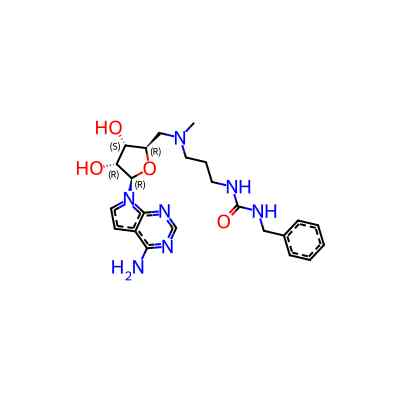 CN(CCCNC(=O)NCc1ccccc1)C[C@H]1O[C@@H](n2ccc3c(N)ncnc32)[C@H](O)[C@@H]1O